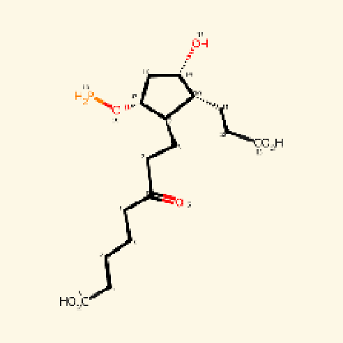 O=C(O)CCCCC(=O)CC[C@@H]1[C@@H](CCC(=O)O)[C@@H](O)C[C@H]1OP